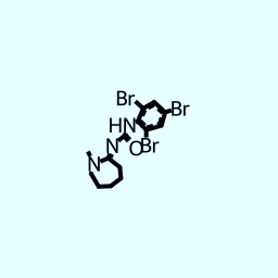 CN1CCCCCC1=NC(=O)Nc1c(Br)cc(Br)cc1Br